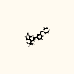 Cn1ncc2c(C(F)(F)F)cc(-c3cccc(CN4CCOCC4)c3)nc21